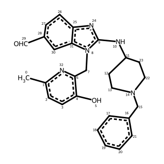 Cc1ccc(O)c(Cn2c(NC3CCN(Cc4ccccc4)CC3)nc3ccc(C=O)cc32)n1